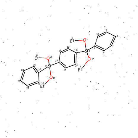 CCO[Si](OCC)(c1ccccc1)c1ccc([Si](OCC)(OCC)c2ccccc2)cc1